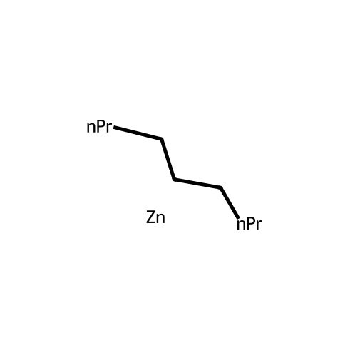 [CH2]CCCCCCCC.[Zn]